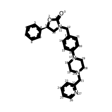 O=C1O[C@H](c2ccccc2)CN1Cc1ccc(N2CCN(Cc3ccccn3)CC2)cc1